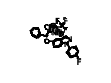 C[C@H](NS(=O)(=O)C(F)(F)F)[C@H](Oc1ccc2c(cnn2-c2ccc(F)cc2)c1)c1ccccc1